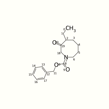 CCC1CCCCN(C(=O)OCc2ccccc2)CC1=O